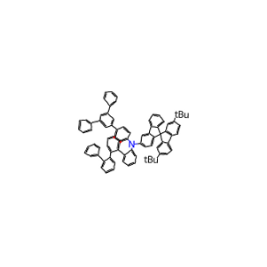 CC(C)(C)c1ccc2c(c1)C1(c3ccccc3-c3cc(N(c4ccc(-c5cc(-c6ccccc6)cc(-c6ccccc6)c5)cc4)c4ccccc4-c4ccccc4-c4ccccc4-c4ccccc4)ccc31)c1cc(C(C)(C)C)ccc1-2